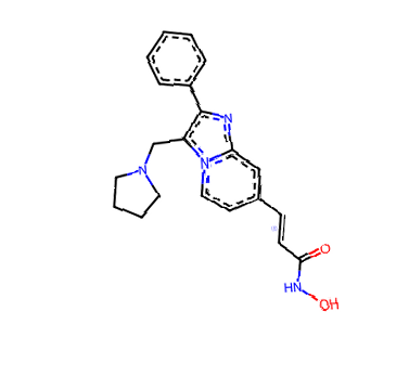 O=C(/C=C/c1ccn2c(CN3CCCC3)c(-c3ccccc3)nc2c1)NO